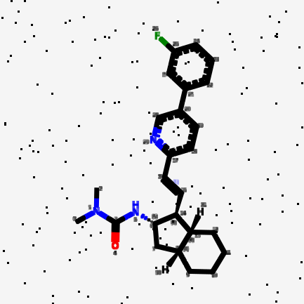 CN(C)C(=O)N[C@H]1C[C@H]2CCCC[C@H]2[C@@H]1/C=C/c1ccc(-c2cccc(F)c2)cn1